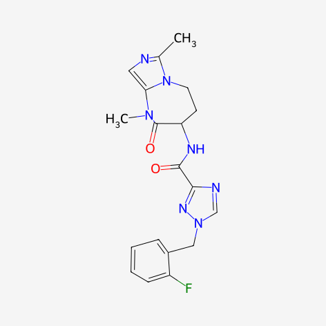 Cc1ncc2n1CCC(NC(=O)c1ncn(Cc3ccccc3F)n1)C(=O)N2C